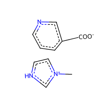 C[n+]1cc[nH]c1.O=C([O-])c1cccnc1